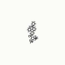 O=C(c1cc(C(F)(F)F)cc(C(F)(F)F)c1)N1CC[C@@H](c2cccc(Nc3ccccc3)c2)[C@@H](c2ccccc2)C1